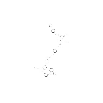 COc1cc(N2CCC(NC(=O)CCc3ccc(CCC(=O)NC(C(=O)N4C[C@H](O)C[C@H]4C(=O)NCc4ccc(-c5scnc5C)cc4)C(C)(C)C)cc3)CC2)ccc1Nc1ncc(Cl)c(Nc2ccccc2P(C)(C)=O)n1